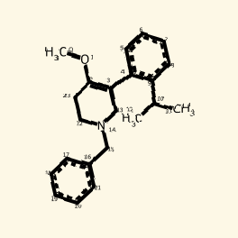 COC1=C(c2ccccc2C(C)C)CN(Cc2ccccc2)CC1